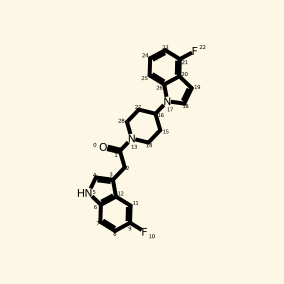 O=C(Cc1c[nH]c2ccc(F)cc12)N1CCC(n2ccc3c(F)cccc32)CC1